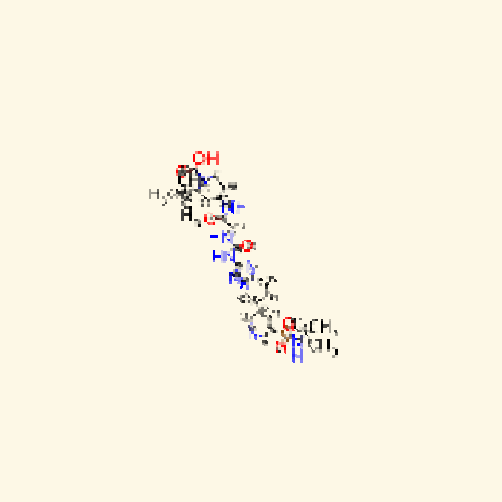 CC(C)(C)NS(=O)(=O)c1cncc(-c2ccc3nc(NC(=O)NCC(=O)NC4CCN(C(=O)O)C(C(C)(C)C)C4)nn3c2)c1